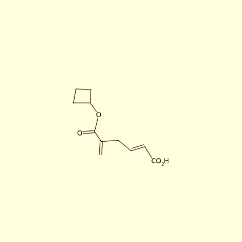 C=C(CC=CC(=O)O)C(=O)OC1CCC1